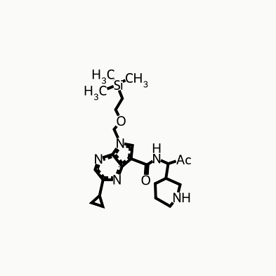 CC(=O)C(NC(=O)c1cn(COCC[Si](C)(C)C)c2ncc(C3CC3)nc12)C1CCCNC1